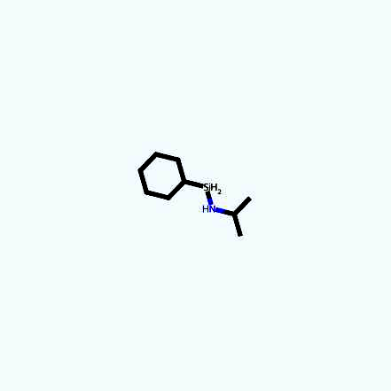 CC(C)N[SiH2]C1CCCCC1